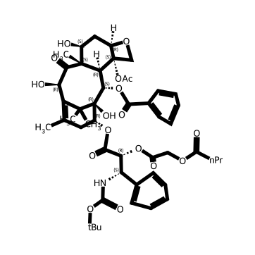 CCCC(=O)OCC(=O)O[C@@H](C(=O)O[C@@H]1CC(C)=C2[C@@H](O)C(=O)[C@@]3(C)[C@H]([C@H](OC(=O)c4ccccc4)[C@@]1(O)C2(C)C)[C@]1(OC(C)=O)CO[C@@H]1C[C@@H]3O)[C@@H](NC(=O)OC(C)(C)C)c1ccccc1